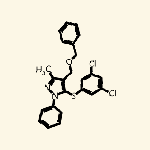 Cc1nn(-c2ccccc2)c(Sc2cc(Cl)cc(Cl)c2)c1COCc1ccccc1